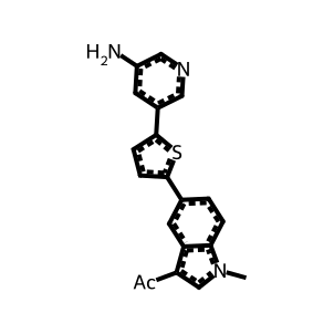 CC(=O)c1cn(C)c2ccc(-c3ccc(-c4cncc(N)c4)s3)cc12